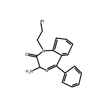 CC(C)CCN1C(=O)C(N)N=C(c2ccccc2)c2ccccc21